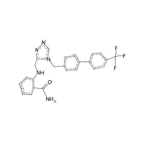 NC(=O)c1ccccc1NCc1nncn1Cc1ccc(-c2ccc(C(F)(F)F)cc2)cc1